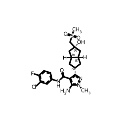 Cn1nc([C@@H]2C[C@@H]3C[C@@](O)(CS(C)(=O)=O)C[C@@H]3C2)c(C(=O)Nc2ccc(F)c(Cl)c2)c1N